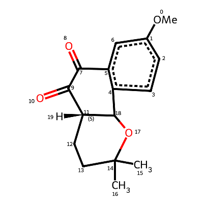 COc1ccc2c(c1)C(=O)C(=O)[C@H]1CCC(C)(C)OC21